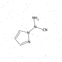 N#CN(N)n1cccn1